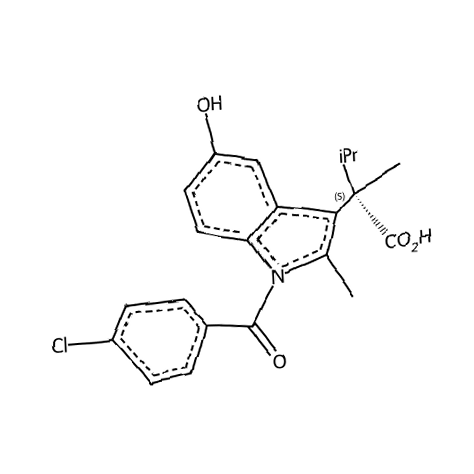 Cc1c([C@@](C)(C(=O)O)C(C)C)c2cc(O)ccc2n1C(=O)c1ccc(Cl)cc1